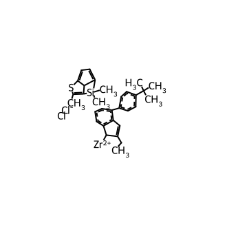 CC1=C2C3C(=CC=C3[Si]2(C)C)S1.CCC1=Cc2c(-c3ccc(C(C)(C)C)cc3)cccc2[CH]1[Zr+2].[Cl-].[Cl-]